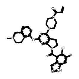 C=CC(=O)N1CCN(c2nc(Oc3cccc4c3CCN(C)C4)nc3c2CCN3C(=O)c2c(Cl)c(F)cc3[nH]ncc23)CC1